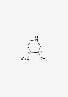 CO[C@@H]1CCNC[C@@H]1C